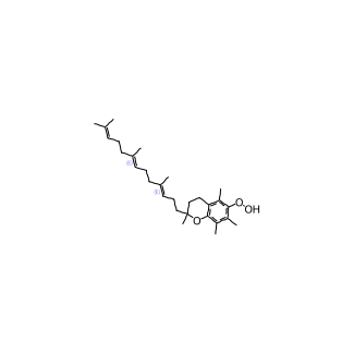 CC(C)=CCC/C(C)=C/CC/C(C)=C/CCC1(C)CCc2c(C)c(OO)c(C)c(C)c2O1